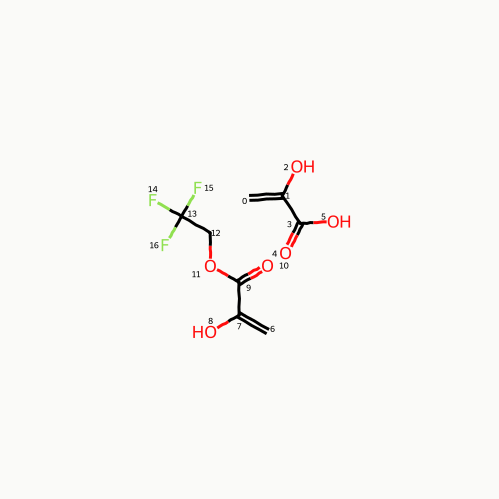 C=C(O)C(=O)O.C=C(O)C(=O)OCC(F)(F)F